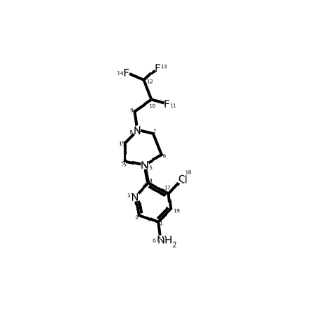 Nc1cnc(N2CCN(CC(F)C(F)F)CC2)c(Cl)c1